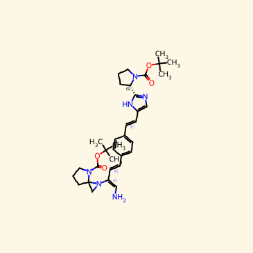 CC(C)(C)OC(=O)N1CCC[C@H]1c1ncc(/C=C/c2ccc(/C=C/C(=C/N)N3CC34CCCN4C(=O)OC(C)(C)C)cc2)[nH]1